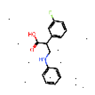 O=C(O)C(CNc1ccccc1)c1cccc(F)c1